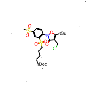 CCCCCCCCCCCCCCS(=O)(=O)c1cc(S(C)(=O)=O)ccc1-n1oc(C(C)(C)C)c(CCl)c1=O